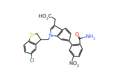 NC(=O)c1ccc([N+](=O)[O-])cc1-c1ccc2c(CC(=O)O)cn(CC3CSc4ccc(Cl)cc43)c2c1